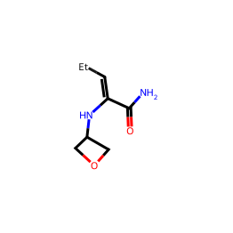 CC/C=C(\NC1COC1)C(N)=O